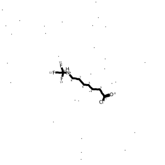 O=C(Cl)CCCCCCNC(F)(F)F